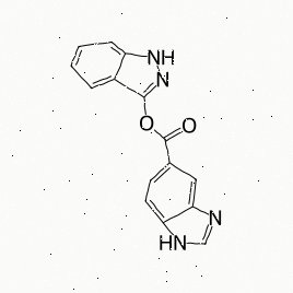 O=C(Oc1n[nH]c2ccccc12)c1ccc2[nH]cnc2c1